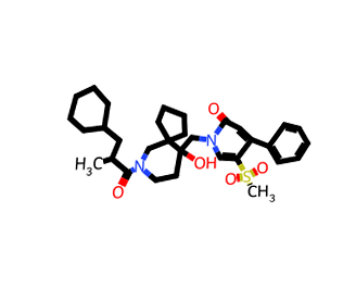 CC(CC1CCCCC1)C(=O)N1CCC(O)(Cn2cc(S(C)(=O)=O)c(-c3ccccc3)cc2=O)C2(CCCC2)C1